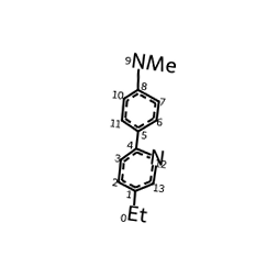 CCc1ccc(-c2ccc(NC)cc2)nc1